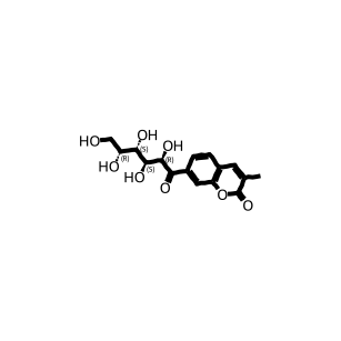 Cc1cc2ccc(C(=O)[C@H](O)[C@@H](O)[C@@H](O)[C@H](O)CO)cc2oc1=O